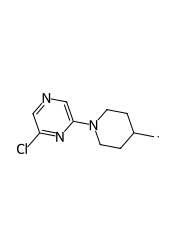 [CH2]C1CCN(c2cncc(Cl)n2)CC1